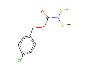 CSN(SC)C(=O)OCc1ccc(Cl)cc1